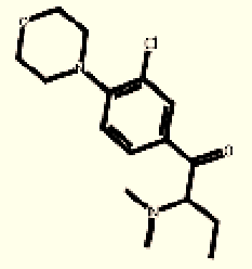 CCC(C(=O)c1ccc(N2CCOCC2)c(Cl)c1)N(C)C